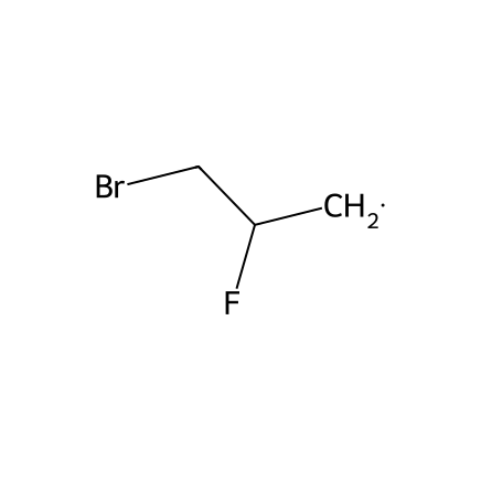 [CH2]C(F)CBr